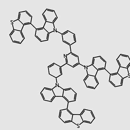 C1=CC(c2cc(-n3c4ccccc4c4c(-c5cccc6sc7ccccc7c56)cccc43)cc(-c3cccc(-n4c5ccccc5c5c(-c6cccc7sc8ccccc8c67)cccc54)c3)n2)=CC(n2c3ccccc3c3c(-c4cccc5sc6ccccc6c45)cccc32)C1